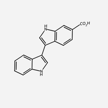 O=C(O)c1ccc2c(-c3c[nH]c4ccccc34)c[nH]c2c1